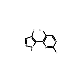 N#Cc1cnc(Cl)nc1-c1[nH]ncc1Cl